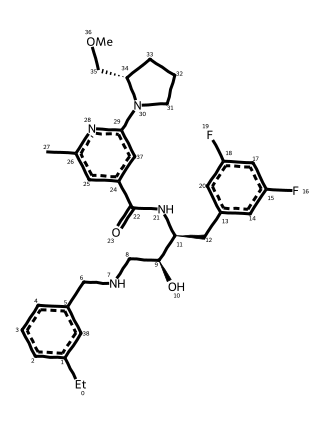 CCc1cccc(CNC[C@H](O)[C@H](Cc2cc(F)cc(F)c2)NC(=O)c2cc(C)nc(N3CCC[C@H]3COC)c2)c1